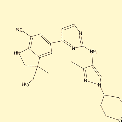 Cc1nn(C2CCOCC2)cc1Nc1nccc(-c2cc(C#N)c3c(c2)C(C)(CO)CN3)n1